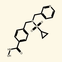 O=C(NO)c1ccc(CN(Cc2cccnc2)S(=O)(=O)C2CC2)cc1